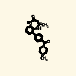 C[C@@H]1CC(=O)Nc2cccc(-c3ccc(C(=O)N4CCN(C)CC4)cc3)c2N1